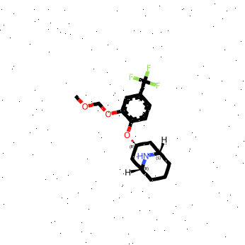 COCOc1cc(C(F)(F)F)ccc1O[C@H]1C[C@H]2CCC[C@@H](C1)N2